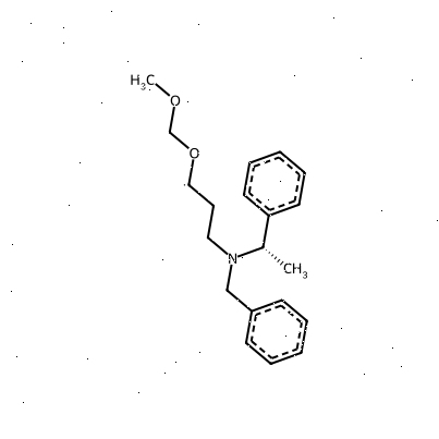 COCO[CH]CCN(Cc1ccccc1)[C@@H](C)c1ccccc1